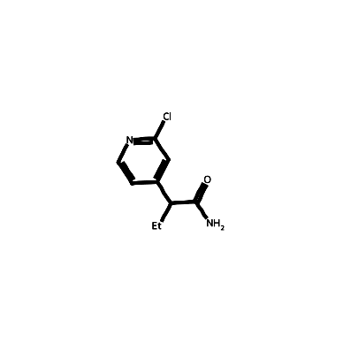 CCC(C(N)=O)c1ccnc(Cl)c1